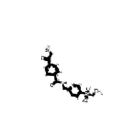 CCS(=O)(=O)c1ccc(CNC(=O)c2ccc(C(=O)CBr)cc2)nc1